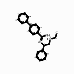 N/C(=N\C(CNCCl)c1ccccc1)c1ccc(-c2ccccc2)cc1